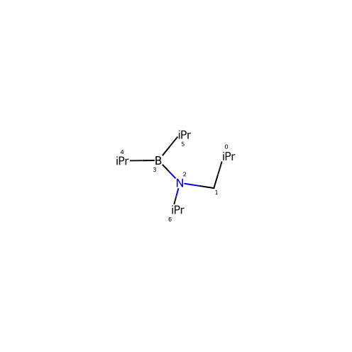 CC(C)CN(B(C(C)C)C(C)C)C(C)C